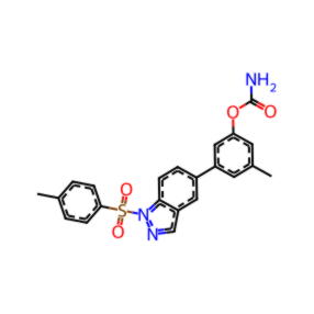 Cc1ccc(S(=O)(=O)n2ncc3cc(-c4cc(C)cc(OC(N)=O)c4)ccc32)cc1